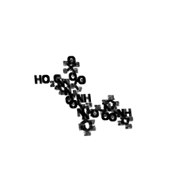 CC1(COC(=O)CC[C@H](NC(=O)c2cc(OCC(=O)N3CCC[C@H]3C(=O)NC3CCC3)n(-c3ccccc3)n2)C(=O)N2CCN(C(=O)O)CC2)COC1